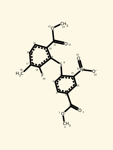 COC(=O)c1ccc(Sc2c(C(=O)OC)ccc(C)c2F)c([N+](=O)[O-])c1